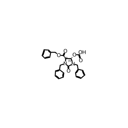 O=C(O)O[C@H]1[C@H](C(=O)OCc2ccccc2)N(Cc2ccccc2)C(=O)N1Cc1ccccc1